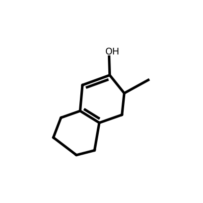 CC1CC2=C(C=C1O)CCCC2